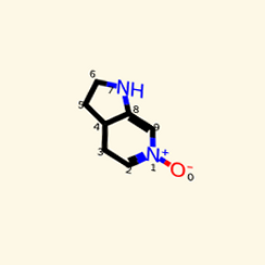 [O-][N+]1=CCC2CCNC2=C1